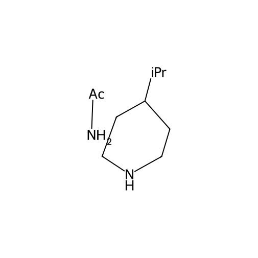 CC(C)C1CCNCC1.CC(N)=O